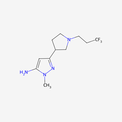 Cn1nc(C2CCN(CCC(F)(F)F)C2)cc1N